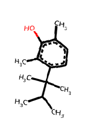 Cc1ccc(C(C)(C)C(C)C)c(C)c1O